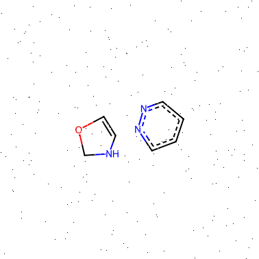 C1=COCN1.c1ccnnc1